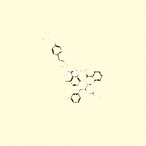 COc1ccc(CCS(=O)(=O)Nc2nn(C)c3c(-n4c([C@H](Cc5cc(F)cc(F)c5)NC(=O)O)nc5c(F)ccc(F)c5c4=O)ccc(Cl)c23)cc1